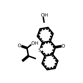 C=C(C)C(=O)O.CO.O=c1c2ccccc2sc2ccccc12